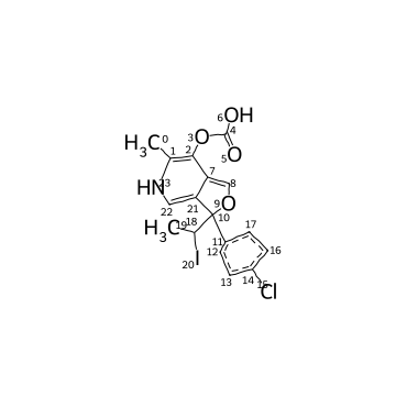 CC1=C(OC(=O)O)C2=COC(c3ccc(Cl)cc3)(C(C)I)C2=CN1